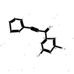 O=C(C#Cc1ccccc1)c1cc(F)cc(F)c1